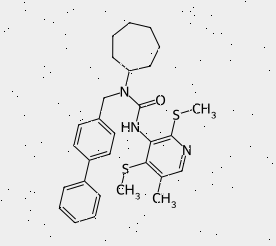 CSc1ncc(C)c(SC)c1NC(=O)N(Cc1ccc(-c2ccccc2)cc1)C1CCCCCC1